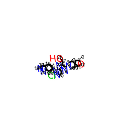 C[C@H]1CC2(CCN(c3nc4cnn(-c5ccc6cn(C)nc6c5Cl)c4nc3CO)CC2)CO1